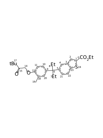 CCOC(=O)c1cc2cc(C(CC)(CC)c3ccc(OCC(=O)C(C)(C)C)c(C)c3)ccc2s1